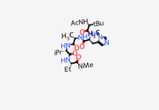 CC[C@H](NC(=O)[C@@H](NC(=O)[C@H](C)NC(=O)[C@H](Cc1cncn1C)NC(=O)[C@@H](NC(C)=O)C(C)(C)C)C(C)C)C(=O)NC